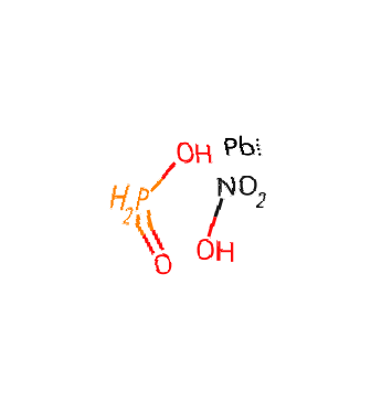 O=[N+]([O-])O.O=[PH2]O.[Pb]